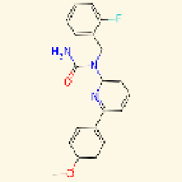 COc1ccc(-c2cccc(N(Cc3ccccc3F)C(N)=O)n2)cc1